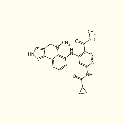 CNC(=O)c1nnc(NC(=O)C2CC2)cc1Nc1cccc2c1N(C)Cc1c[nH]nc1-2